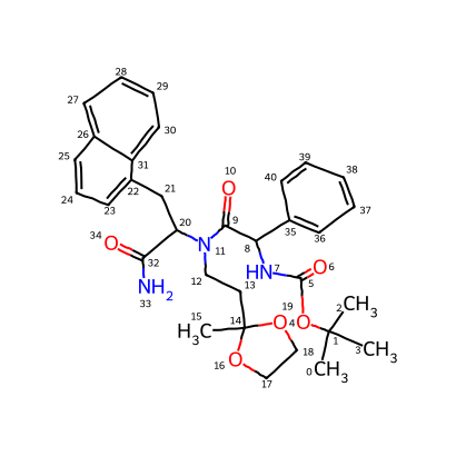 CC(C)(C)OC(=O)NC(C(=O)N(CCC1(C)OCCO1)C(Cc1cccc2ccccc12)C(N)=O)c1ccccc1